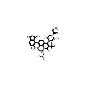 C=CC(=O)N1C[C@H](C)N(C2=C(C(F)(F)F)C(O)N3c4c2ccc(-c2c(C)ccc5[nH]nc(C)c25)c4OC[C@H]3CN(C)C)C[C@H]1C